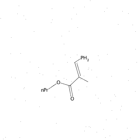 CCCOC(=O)C(C)=CP